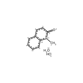 Cl.Cn1c(=O)ccc2ccccc21.O